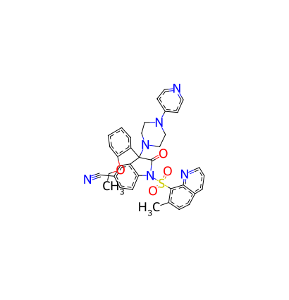 CCOc1ccccc1C1(N2CCN(c3ccncc3)CC2)C(=O)N(S(=O)(=O)c2c(C)ccc3cccnc23)c2ccc(C#N)cc21